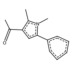 CC(=O)c1cc(-c2ccccc2)n(C)c1C